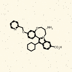 N[C@H]1COc2cc(OCc3ccccn3)ccc2-c2c(C3CCCCC3)c3ccc(C(=O)O)cc3n2C1